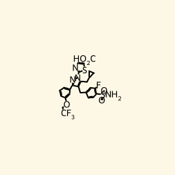 NS(=O)(=O)c1ccc(Cc2c(-c3cccc(OCC(F)(F)F)c3)nn(-c3nc(C(=O)O)cs3)c2CC2CC2)cc1F